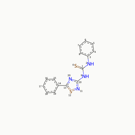 S=C(Nc1ccccc1)Nc1nsc(-c2ccccc2)n1